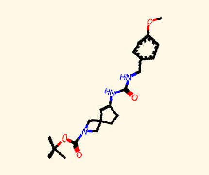 COc1ccc(CNC(=O)NC2CCC3(C2)CN(C(=O)OC(C)(C)C)C3)cc1